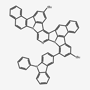 CC(C)(C)c1cc(-c2ccc3c(c2)c2ccccc2n3-c2ccccc2)c2c(c1)c1c3ccccc3cc3c4c5c6cc(C(C)(C)C)cc7c8c9ccccc9ccc8n(c5cnc4n2c31)c76